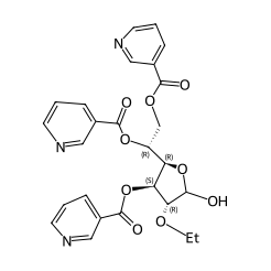 CCO[C@H]1C(O)O[C@H]([C@@H](COC(=O)c2cccnc2)OC(=O)c2cccnc2)[C@@H]1OC(=O)c1cccnc1